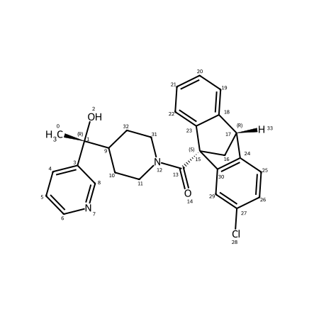 C[C@](O)(c1cccnc1)C1CCN(C(=O)[C@@]23C[C@H](c4ccccc42)c2ccc(Cl)cc23)CC1